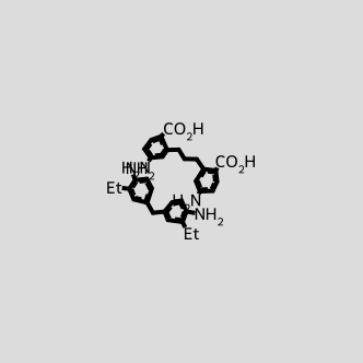 CCc1cc(Cc2ccc(N)c(CC)c2)ccc1N.Nc1ccc(C(=O)O)c(CCCc2cc(N)ccc2C(=O)O)c1